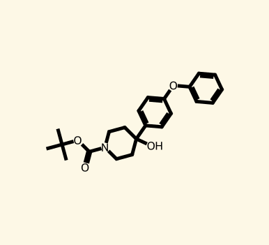 CC(C)(C)OC(=O)N1CCC(O)(c2ccc(Oc3ccccc3)cc2)CC1